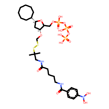 CC(C)(CNC(=O)CCCCNC(=O)c1ccc(N(O)O)cc1)SSCO[C@@H]1C[C@H](C2CCCCCCC2)OC1COP(=O)(O)OP(=O)(O)OP(=O)(O)O